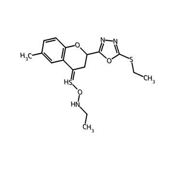 CCNO[SH]=C1CC(c2nnc(SCC)o2)Oc2ccc(C)cc21